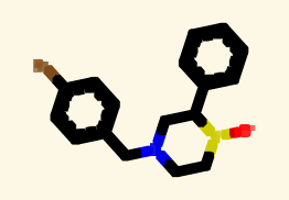 [O-][S+]1CCN(Cc2ccc(Br)cc2)CC1c1ccccc1